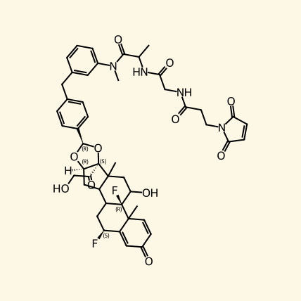 CC(NC(=O)CNC(=O)CCN1C(=O)C=CC1=O)C(=O)N(C)c1cccc(Cc2ccc([C@@H]3O[C@@H]4CC5C6C[C@H](F)C7=CC(=O)C=CC7(C)[C@@]6(F)C(O)CC5(C)[C@]4(C(=O)CO)O3)cc2)c1